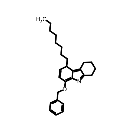 CCCCCCCCC1C=CC(OCc2ccccc2)=C2N=C3CCCCC3=C21